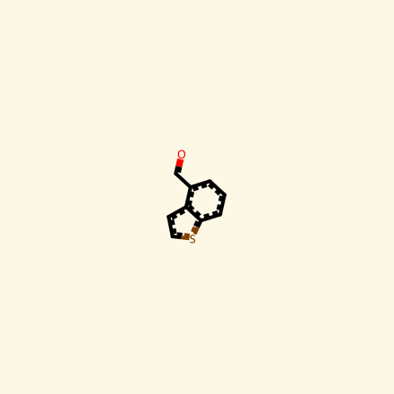 O=Cc1cccc2sccc12